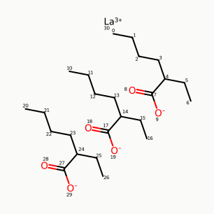 CCCCC(CC)C(=O)[O-].CCCCC(CC)C(=O)[O-].CCCCC(CC)C(=O)[O-].[La+3]